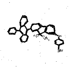 CC(C)(C)c1ccc(Nc2ccc3c(c2)C(C)(C)C2=CC(c4c5ccccc5c(-c5ccccc5)c5ccccc45)CC=C23)cc1